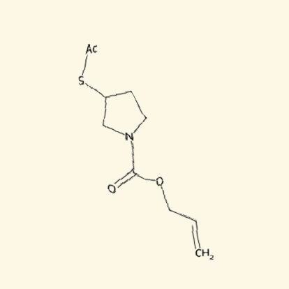 C=CCOC(=O)N1CCC(SC(C)=O)C1